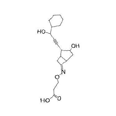 O=C(O)CCON=C1CC2C1CC(O)C2C#CC(O)C1CCCCC1